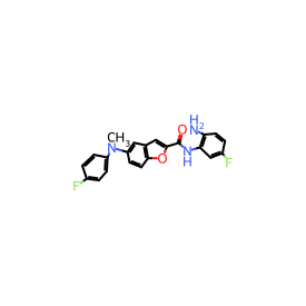 CN(c1ccc(F)cc1)c1ccc2oc(C(=O)Nc3cc(F)ccc3N)cc2c1